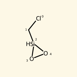 ClC[SiH]1OO1